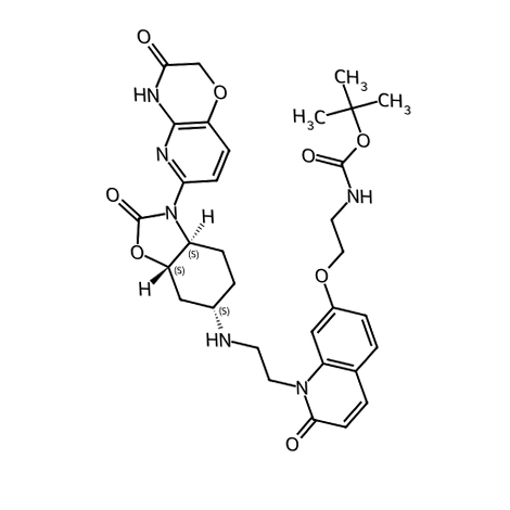 CC(C)(C)OC(=O)NCCOc1ccc2ccc(=O)n(CCN[C@H]3CC[C@H]4[C@H](C3)OC(=O)N4c3ccc4c(n3)NC(=O)CO4)c2c1